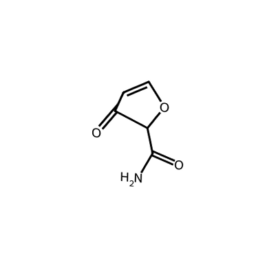 NC(=O)C1OC=CC1=O